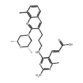 Cc1nc(N)nc(NCCCc2cc3cccc(C)c3nc2N2C[C@@H](C)O[C@@H](C)C2)c1C=CC(=O)O